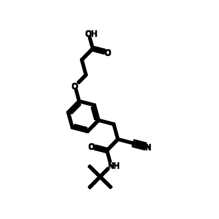 CC(C)(C)NC(=O)C(C#N)Cc1cccc(OCCC(=O)O)c1